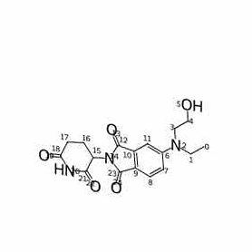 CCN(CCO)c1ccc2c(c1)C(=O)N(C1CCC(=O)NC1=O)C2=O